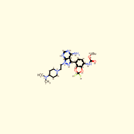 CN(C)C1CCN(CCn2nc(-c3ccc(NC(=O)OC(C)(C)C)c4c3OC(F)(F)O4)c3c(N)ncnc32)CC1